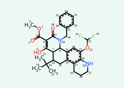 COC(=O)C1=C(O)C2C(c3cc(OC(F)F)c4c(c3CC2C(C)(C)C)CCCN4)N(Cc2ccccc2)C1=O